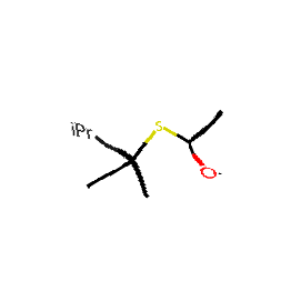 CC([O])SC(C)(C)C(C)C